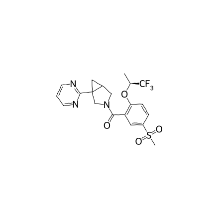 C[C@H](Oc1ccc(S(C)(=O)=O)cc1C(=O)N1CC2CC2(c2ncccn2)C1)C(F)(F)F